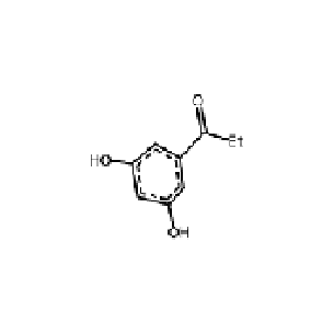 CCC(=O)c1cc(O)cc(O)c1